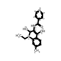 CCN1c2cc(C)ccc2C(O)=C(NC(=O)c2ccncc2)C1O